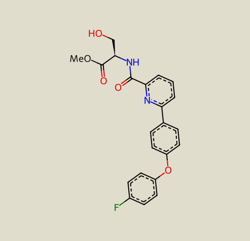 COC(=O)[C@@H](CO)NC(=O)c1cccc(-c2ccc(Oc3ccc(F)cc3)cc2)n1